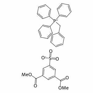 COC(=O)c1cc(C(=O)OC)cc(S(=O)(=O)[O-])c1.c1ccc(C[P+](c2ccccc2)(c2ccccc2)c2ccccc2)cc1